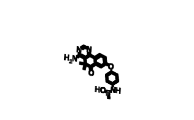 CB(O)N[C@H]1CC[C@H](Oc2ccc3c(c2)C(=O)C(C)(C)c2c(N)ncnc2-3)CC1